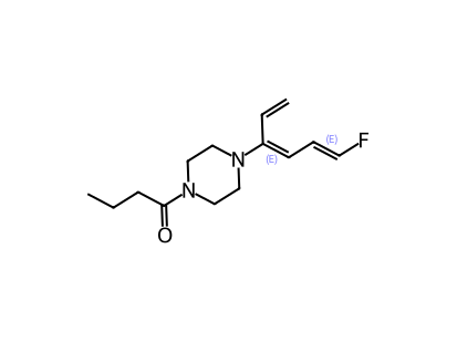 C=C/C(=C\C=C\F)N1CCN(C(=O)CCC)CC1